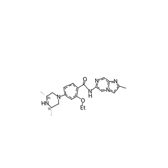 CCOc1cc(N2C[C@@H](C)N[C@@H](C)C2)ccc1C(=O)Nc1cn2cc(C)nc2cn1